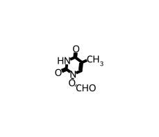 Cc1cn(OC=O)c(=O)[nH]c1=O